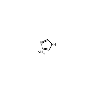 [SiH4].c1c[nH]cn1